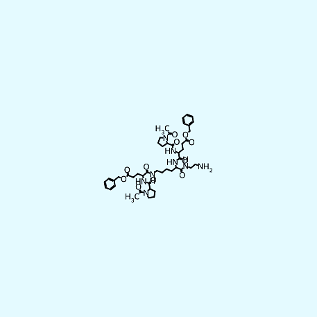 CC(=O)N1CCCC1C(=O)NC(CCC(=O)OCc1ccccc1)C(=O)NCCCCC(NC(=O)C(CCC(=O)OCc1ccccc1)NC(=O)C1CCCN1C(C)=O)C(=O)NCCN